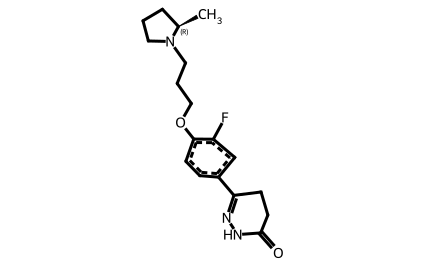 C[C@@H]1CCCN1CCCOc1ccc(C2=NNC(=O)CC2)cc1F